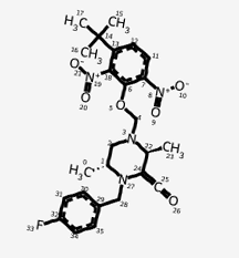 C[C@@H]1CN(COc2c([N+](=O)[O-])ccc(C(C)(C)C)c2[N+](=O)[O-])[C@@H](C)C(=C=O)N1Cc1ccc(F)cc1